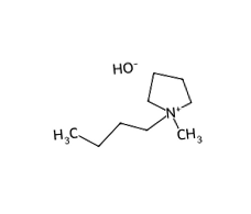 CCCC[N+]1(C)CCCC1.[OH-]